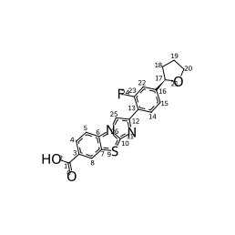 O=C(O)c1ccc2c(c1)sc1nc(-c3ccc([C@H]4CCCO4)cc3F)cn12